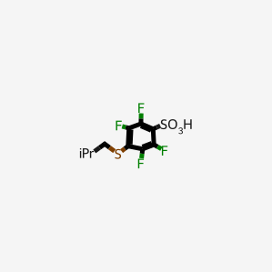 CC(C)CSc1c(F)c(F)c(S(=O)(=O)O)c(F)c1F